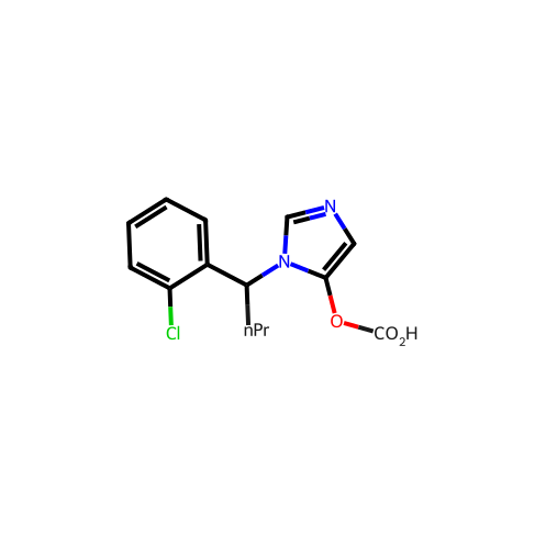 CCCC(c1ccccc1Cl)n1cncc1OC(=O)O